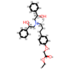 CCOC(=O)COc1ccc(CC[C@@H](C)N(C[C@H](O)c2ccccc2)C[C@H](O)c2ccccc2)cc1